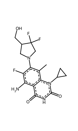 Cc1c(N2CC(CO)C(F)(F)C2)c(F)c(N)c2c(=O)[nH]c(=O)n(C3CC3)c12